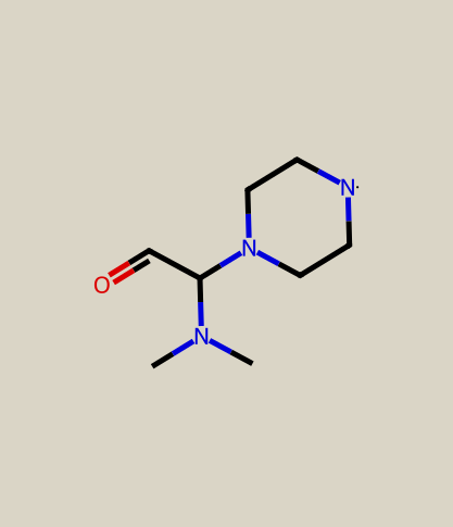 CN(C)C(C=O)N1CC[N]CC1